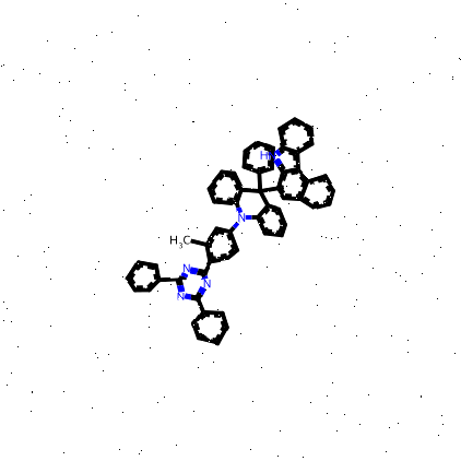 Cc1cc(N2c3ccccc3C(c3ccccc3)(c3cc4ccccc4c4c3[nH]c3ccccc34)c3ccccc32)ccc1-c1nc(-c2ccccc2)nc(-c2ccccc2)n1